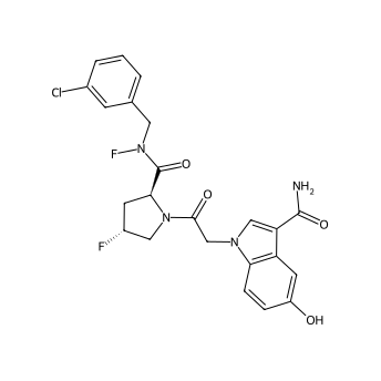 NC(=O)c1cn(CC(=O)N2C[C@H](F)C[C@H]2C(=O)N(F)Cc2cccc(Cl)c2)c2ccc(O)cc12